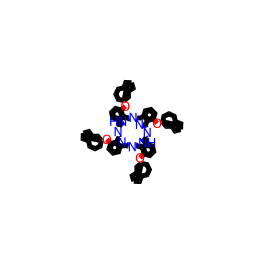 c1cc(OC23CCCC4CC(CC4C2)C3)c2c(c1)-c1nc-2nc2[nH]c(nc3nc(nc4[nH]c(n1)c1c(OC56CCCC7CC(CC7C5)C6)cccc41)-c1c(OC45CCCC6CC(CC6C4)C5)cccc1-3)c1c(OC34CCCC5CC(CC5C3)C4)cccc21